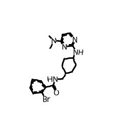 CN(C)c1ccnc(NC2CCC(CNC(=O)c3ccccc3Br)CC2)n1